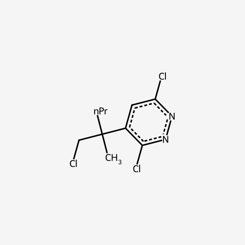 CCCC(C)(CCl)c1cc(Cl)nnc1Cl